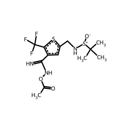 CC(=O)ONC(=N)c1cc(CN[S+]([O-])C(C)(C)C)sc1C(F)(F)F